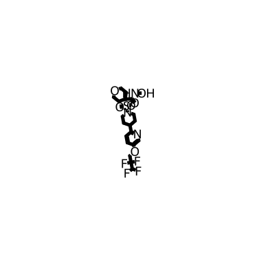 O=C(NO)C1(S(=O)(=O)N2CCC(c3ccc(OCC(F)(F)C(F)F)cn3)CC2)CCOCC1